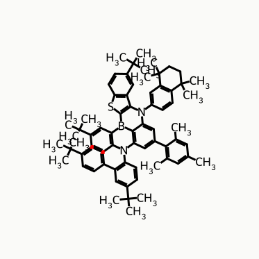 Cc1cc(C)c(-c2cc3c4c(c2)N(c2ccc5c(c2)C(C)(C)CCC5(C)C)c2c(sc5ccc(C(C)(C)C)cc25)B4c2cc(C(C)(C)C)ccc2N3c2ccc(C(C)(C)C)cc2-c2ccc(C(C)(C)C)cc2)c(C)c1